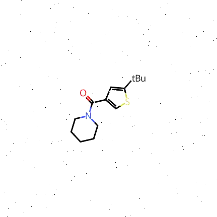 CC(C)(C)c1cc(C(=O)N2CCCCC2)cs1